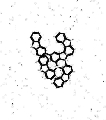 c1ccc2c(c1)sc1ccc(-c3cc4c5c(c3)N(c3cccc6sc7ccccc7c36)c3c(ccc6sc7ccccc7c36)B5c3ccc5sc6ccccc6c5c3-4)cc12